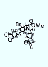 COC(=O)c1cc2c(Br)cc(Sc3ccc(Cl)c(Cl)c3)cc2n1C(C)c1ccc(C(=O)N(C)C)cc1